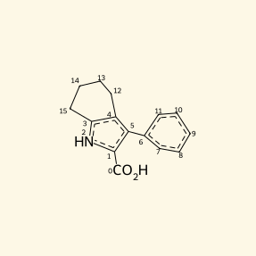 O=C(O)c1[nH]c2c(c1-c1ccccc1)CCCC2